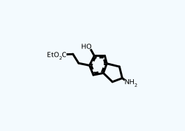 CCOC(=O)CCc1cc2c(cc1O)CC(N)C2